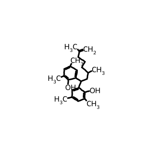 C=C(C)CCCC(C)CC(c1cc(C)cc(C)c1O)c1cc(C)cc(C)c1O